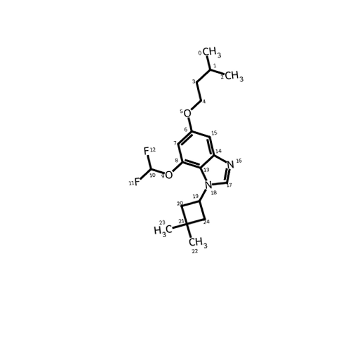 CC(C)CCOc1cc(OC(F)F)c2c(c1)ncn2C1CC(C)(C)C1